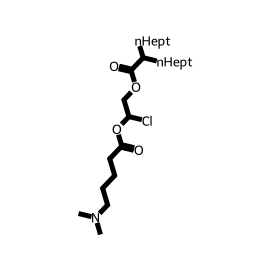 CCCCCCCC(CCCCCCC)C(=O)OCC(Cl)OC(=O)CCCCN(C)C